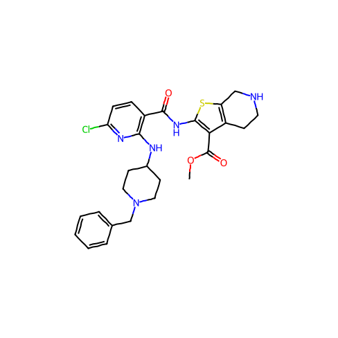 COC(=O)c1c(NC(=O)c2ccc(Cl)nc2NC2CCN(Cc3ccccc3)CC2)sc2c1CCNC2